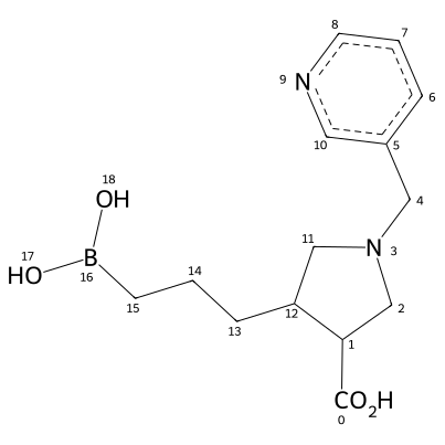 O=C(O)C1CN(Cc2cccnc2)CC1CCCB(O)O